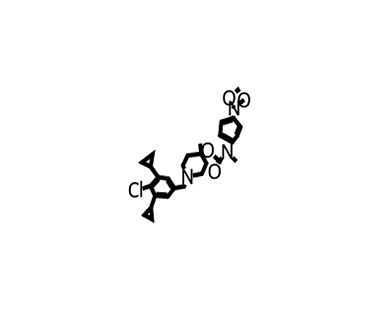 CN(C(=O)OC1(C)CCN(Cc2cc(C3CC3)c(Cl)c(C3CC3)c2)CC1)c1ccc(N2OCO2)cc1